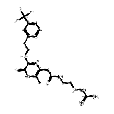 Cc1[nH]c(=O)c(NCCc2cccc(C(F)(F)F)c2)nc1CC(=O)NCCONC(=N)N